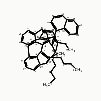 CCC[CH2][Zr]1([CH2]CCC)[CH]2C(CC)=C(c3cccc4ccccc34)c3c(cccc32)CCc2cccc3c2C(c2cccc4ccccc24)=C(CC)[CH]31